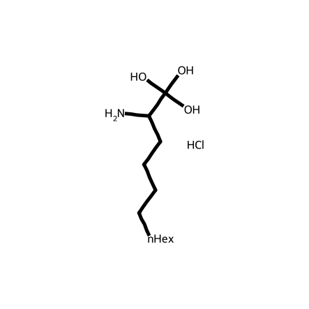 CCCCCCCCCCC(N)C(O)(O)O.Cl